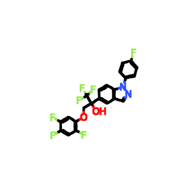 OC(COc1cc(F)c(F)cc1F)(c1ccc2c(cnn2-c2ccc(F)cc2)c1)C(F)(F)F